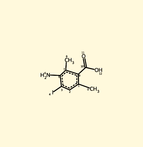 Cc1cc(I)c(N)c(C)c1C(=O)O